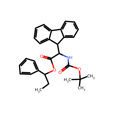 CCC(OC(=O)C(NC(=O)OC(C)(C)C)C1c2ccccc2-c2ccccc21)c1ccccc1